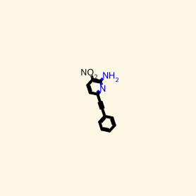 Nc1nc(C#Cc2ccccc2)ccc1[N+](=O)[O-]